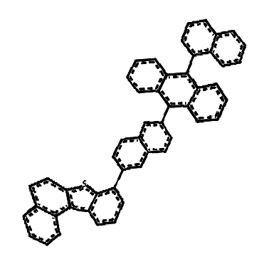 c1ccc2c(-c3c4ccccc4c(-c4ccc5cc(-c6cccc7c6sc6ccc8ccccc8c67)ccc5c4)c4ccccc34)cccc2c1